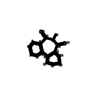 CC1C(=O)c2ccccc2-c2ccccc2C1=O